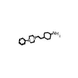 NC1CCC(CCN2CCN(c3ccccc3)CC2)CC1